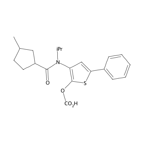 CC1CCC(C(=O)N(c2cc(-c3ccccc3)sc2OC(=O)O)C(C)C)C1